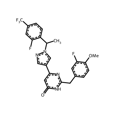 COc1ccc(Cc2nc(-c3cnn(C(C)c4ccc(C(F)(F)F)cc4F)c3)cc(=O)[nH]2)cc1F